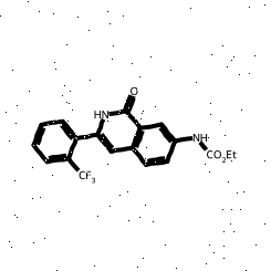 CCOC(=O)Nc1ccc2cc(-c3ccccc3C(F)(F)F)[nH]c(=O)c2c1